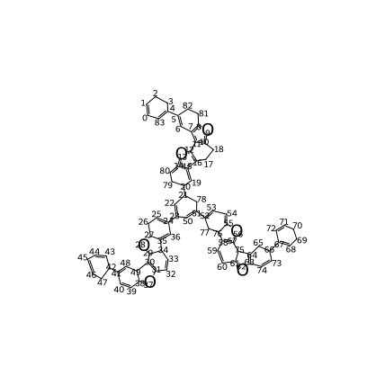 C1=CCCC(C2=Cc3c(oc4c3-c3oc5c(c3CC4)=CC(C3C=C(C4=CCC6OC7C8=C(C=CC7C6=C4)OC4C=CC(C6C=CC=CC6)=CC84)C=C(C4=CC=C6OC7=C(C=CC8OC9=C(CC(C%10=CCCC=C%10)C=C9)C78)C6C4)C3)CC=5)CC2)=C1